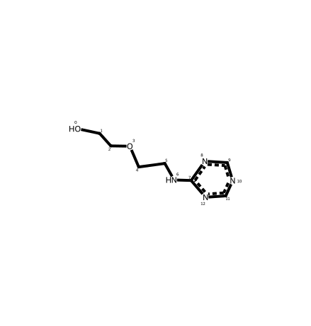 OCCOCCNc1ncncn1